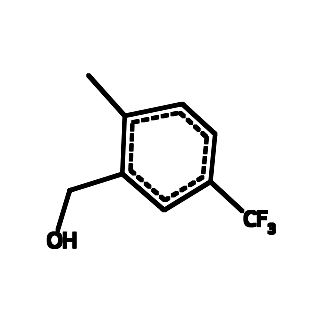 Cc1ccc(C(F)(F)F)cc1CO